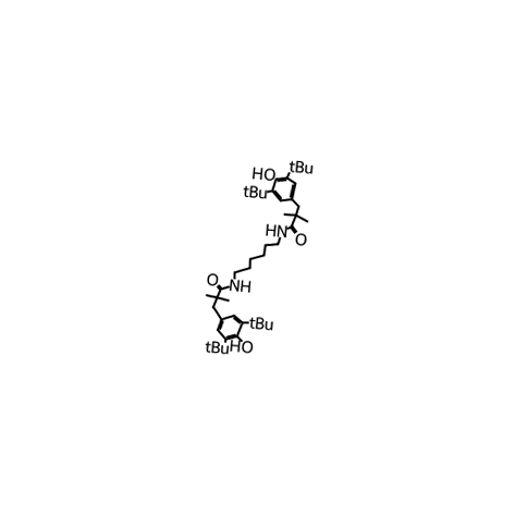 CC(C)(Cc1cc(C(C)(C)C)c(O)c(C(C)(C)C)c1)C(=O)NCCCCCCNC(=O)C(C)(C)Cc1cc(C(C)(C)C)c(O)c(C(C)(C)C)c1